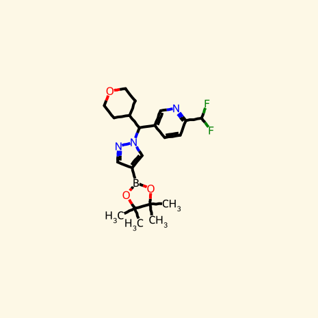 CC1(C)OB(c2cnn(C(c3ccc(C(F)F)nc3)C3CCOCC3)c2)OC1(C)C